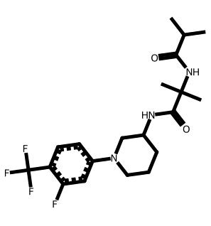 CC(C)C(=O)NC(C)(C)C(=O)NC1CCCN(c2ccc(C(F)(F)F)c(F)c2)C1